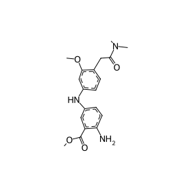 COC(=O)c1cc(Nc2ccc(CC(=O)N(C)C)c(OC)c2)ccc1N